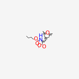 CCCCOC(=O)N[C@@H](C[C@H]1C[C@@H](C)O[C@@H](C)C1)C(=O)OC